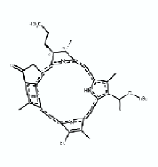 CCCCOC(C)c1c(C)c2cc3nc(c4c5[nH]c(cc6nc(cc1[nH]2)C(C)=C6CC)c(C)c5C(=O)C4)[C@@H](CCC(=O)O)[C@@H]3C